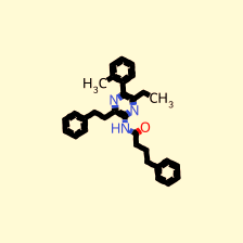 CCc1nc(NC(=O)CCCc2ccccc2)c(CCc2ccccc2)nc1-c1ccccc1C